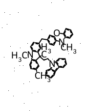 Cc1ccc2c(c1)C(C)(CCn1c3ccccc3c3ccccc31)c1cc(Cc3ccc4c(c3)Oc3ccccc3N4C)ccc1N2C